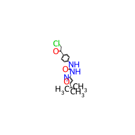 CC(C)(C)c1cc(NC(=O)Nc2ccc(C(=O)CCl)cc2)no1